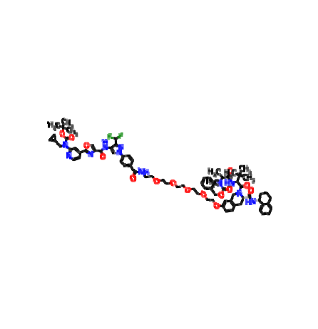 C[C@@H](C(=O)N[C@H](C(=O)N1Cc2cc(OCCOCCOCCOCCOCCNC(=O)c3ccc(-n4cc(NC(=O)c5coc(-c6ccnc(N(CC7CC7)C(=O)OC(C)(C)C)c6)n5)c(C(F)F)n4)cc3)ccc2C[C@H]1C(=O)N[C@@H]1CCCc2ccccc21)C(C)(C)C)N(C)C(=O)OCc1ccccc1